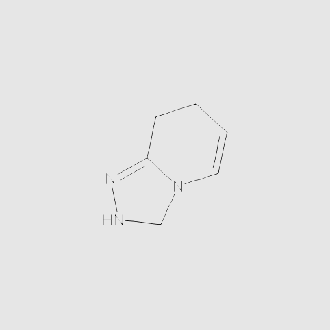 C1=CN2CNN=C2CC1